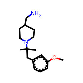 COc1cccc(CC(C)(C)N2CCC(CN)CC2)c1